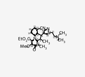 CCOC(=O)c1nc(C(C)C(c2cnn(CCN(C)C)c2)c2ccccc2C#N)n(C)c(=O)c1OC